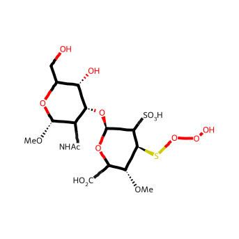 CO[C@@H]1OC(CO)[C@H](O)[C@H](O[C@@H]2OC(C(=O)O)[C@@H](OC)[C@H](SOOO)C2S(=O)(=O)O)C1NC(C)=O